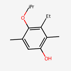 CCc1c(C)c(O)cc(C)c1OC(C)C